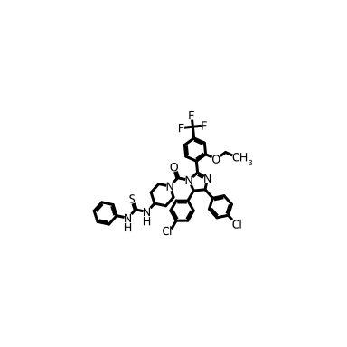 CCOc1cc(C(F)(F)F)ccc1C1=NC(c2ccc(Cl)cc2)C(c2ccc(Cl)cc2)N1C(=O)N1CCC(NC(=S)Nc2ccccc2)CC1